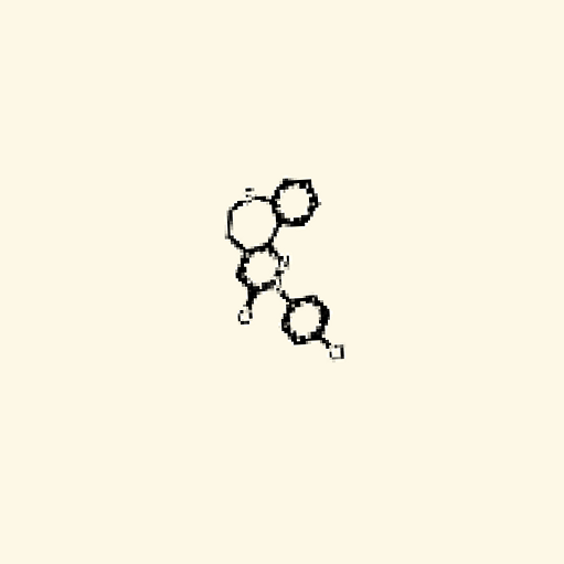 O=c1cc2c(nn1-c1ccc(Cl)cc1)-c1ccccc1SCC2